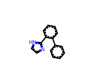 [c]1cccc(-c2ccccc2)c1-c1ncc[nH]1